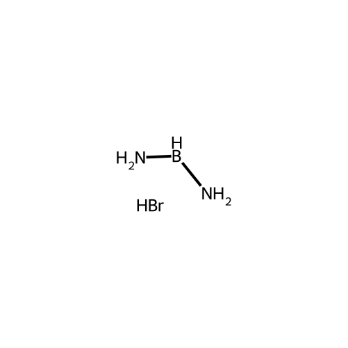 Br.NBN